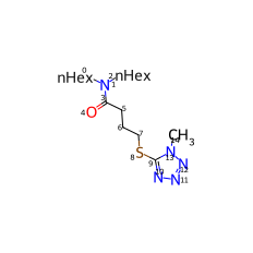 CCCCCCN(CCCCCC)C(=O)CCCSc1nnnn1C